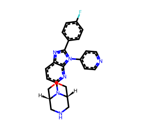 Fc1ccc(-c2nc3ccc(N4[C@@H]5CNC[C@H]4COC5)nc3n2-c2ccncc2)cc1